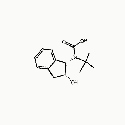 CC(C)(C)N(C(=O)O)[C@H]1c2ccccc2C[C@H]1O